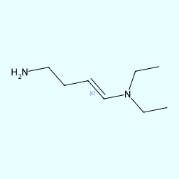 CCN(/C=C/CCN)CC